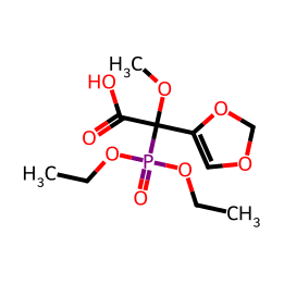 CCOP(=O)(OCC)C(OC)(C(=O)O)C1=COCO1